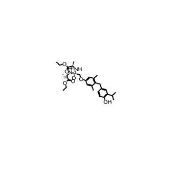 CCOC(=O)[C@H](C)NP(=O)(COc1cc(C)c(Cc2ccc(O)c(C(C)C)c2)c(C)c1)N[C@H](C)C(=O)OCC